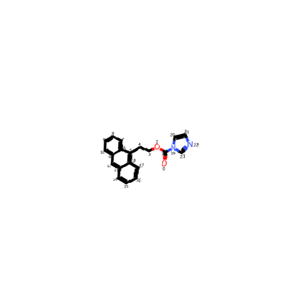 O=C(OCCc1c2ccccc2cc2ccccc12)n1ccnc1